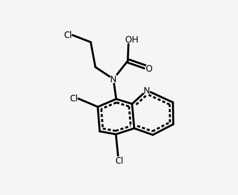 O=C(O)N(CCCl)c1c(Cl)cc(Cl)c2cccnc12